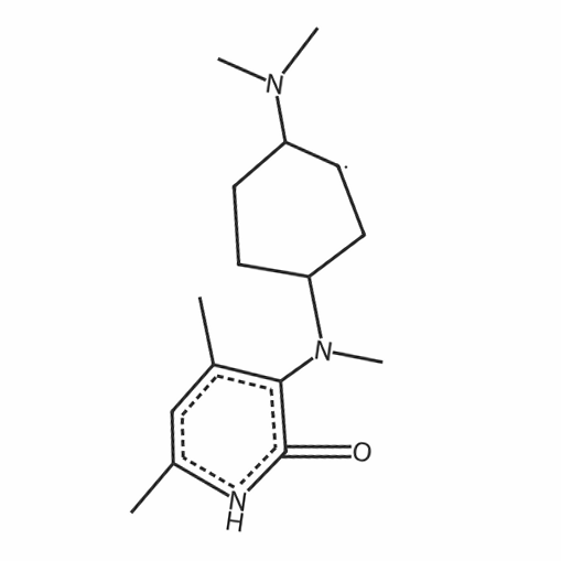 Cc1cc(C)c(N(C)C2C[CH]C(N(C)C)CC2)c(=O)[nH]1